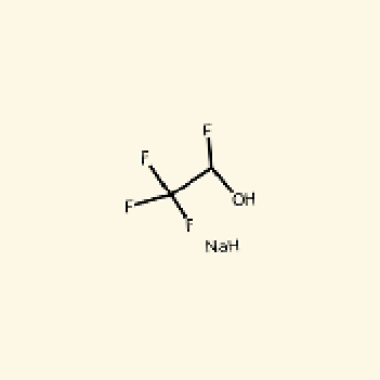 OC(F)C(F)(F)F.[NaH]